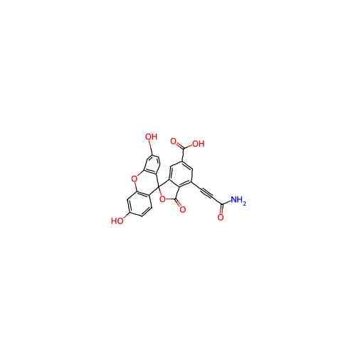 NC(=O)C#Cc1cc(C(=O)O)cc2c1C(=O)OC21c2ccc(O)cc2Oc2cc(O)ccc21